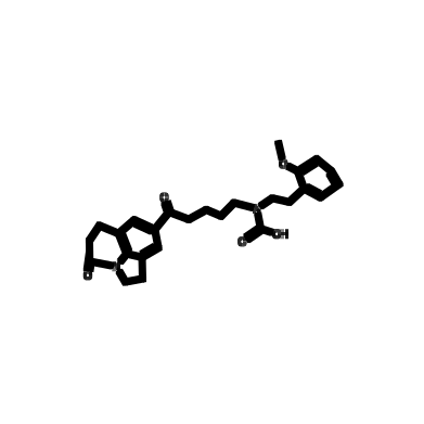 COc1ccccc1CCN(CCCCC(=O)c1cc2c3c(c1)CCN3C(=O)CC2)C(=O)O